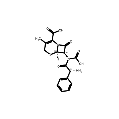 CC1=C(C(=O)O)N2C(=O)[C@@H](N(C(=O)O)C(=O)[C@H](N)c3ccccc3)[C@H]2SC1